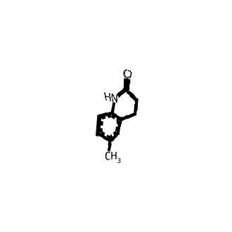 Cc1ccc2c(c1)CCC(=O)N2